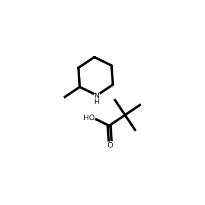 CC(C)(C)C(=O)O.CC1CCCCN1